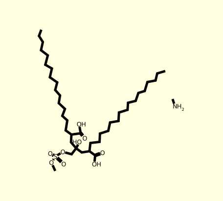 CCCCCCCCCCCCCCCCC(CC(O)(COS(=O)(=O)OC)CC(CCCCCCCCCCCCCCCC)C(=O)O)C(=O)O.CN